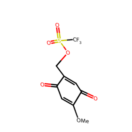 COC1=CC(=O)C(COS(=O)(=O)C(F)(F)F)=CC1=O